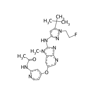 CC(=O)Nc1cc(Oc2cnc3nc(Nc4cc(C(C)(C)C)n(CCF)n4)n(C)c3c2)ccn1